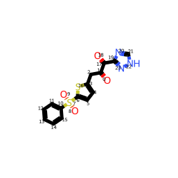 O=C(Cc1ccc(S(=O)(=O)c2ccccc2)s1)C(=O)c1nc[nH]n1